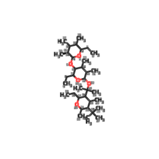 CCC1OC(OC2C(CC)OC(OC(C)(C)C3C(CC)OC(C)C(C(C)(C)C)C3C)C(C)C2C)[C@@H](C)C(C)C1C